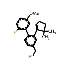 COc1ccc(F)c(-c2ccc(CC(C)C)cc2C2=CCCC2(C)C)c1